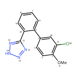 COc1ccc(-c2ccccc2-c2nn[nH]n2)cc1Cl